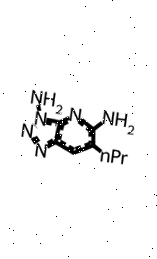 CCCc1cc2nnn(N)c2nc1N